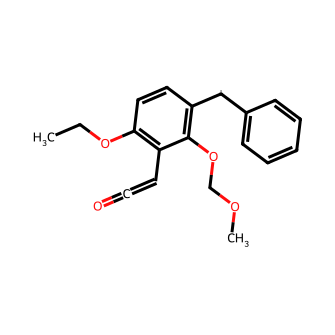 CCOc1ccc([CH]c2ccccc2)c(OCOC)c1C=C=O